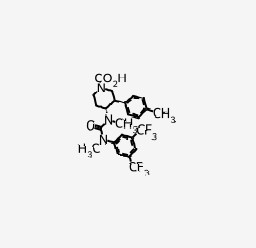 Cc1ccc(C2CN(C(=O)O)CC[C@H]2N(C)C(=O)N(C)c2cc(C(F)(F)F)cc(C(F)(F)F)c2)cc1